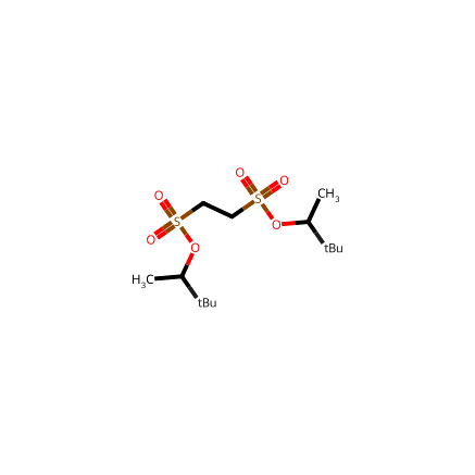 CC(OS(=O)(=O)CCS(=O)(=O)OC(C)C(C)(C)C)C(C)(C)C